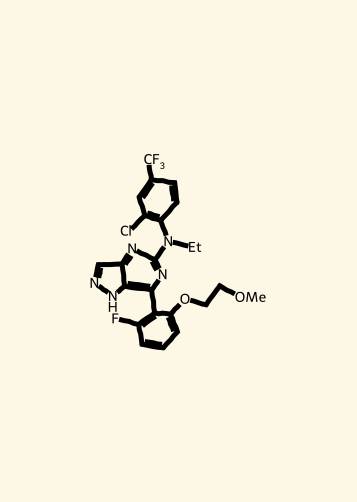 CCN(c1nc(-c2c(F)cccc2OCCOC)c2[nH]ncc2n1)c1ccc(C(F)(F)F)cc1Cl